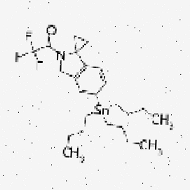 CCC[CH2][Sn]([CH2]CCC)([CH2]CCC)[c]1ccc2c(c1)CN(C(=O)C(F)(F)F)C21CC1